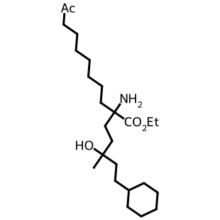 CCOC(=O)C(N)(CCCCCCCC(C)=O)CCC(C)(O)CCC1CCCCC1